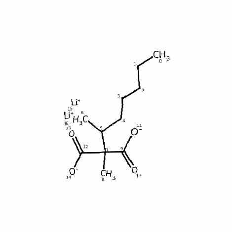 CCCCCC(C)C(C)(C(=O)[O-])C(=O)[O-].[Li+].[Li+]